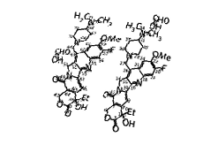 CC[C@@]1(O)C(=O)OCc2c1cc1n(c2=O)Cc2c-1nc1cc(F)c(OC)cc1c2CN1CCC(N(C)C)CC1.CC[C@@]1(O)C(=O)OCc2c1cc1n(c2=O)Cc2c-1nc1cc(F)c(OC)cc1c2CN1CCC(N(C)C)CC1.O=CO.O=CO